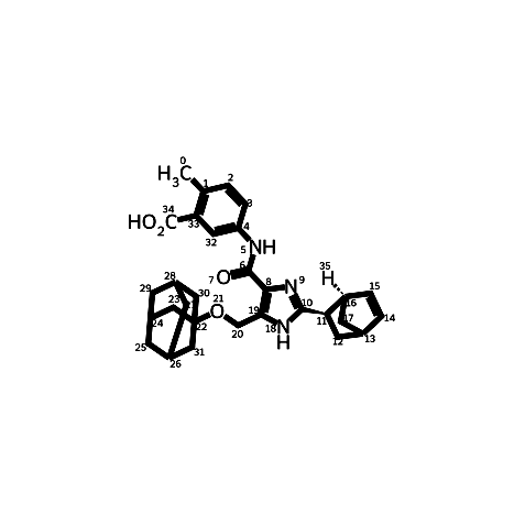 Cc1ccc(NC(=O)c2nc([C@@H]3CC4C=C[C@H]3C4)[nH]c2COC23CC4CC(CC(C4)C2)C3)cc1C(=O)O